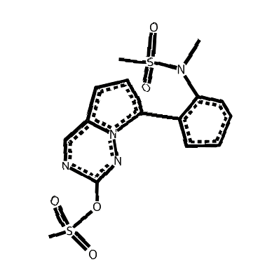 CN(c1ccccc1-c1ccc2cnc(OS(C)(=O)=O)nn12)S(C)(=O)=O